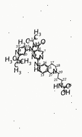 CC(C)n1c(=O)c2cnc(Nc3ccc4c(c3)CCN(CCCNC(=O)O)C4)nc2n1-c1ccnc(C(C)(C)C)c1